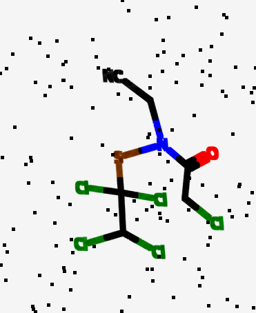 N#CCN(SC(Cl)(Cl)C(Cl)Cl)C(=O)CCl